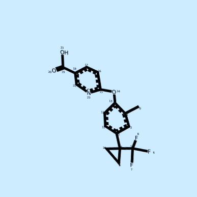 Cc1cc(C2(C(F)(F)F)CC2)ccc1Oc1ccc(C(=O)O)cn1